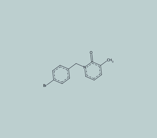 Cc1cccn(Cc2ccc(Br)cc2)c1=O